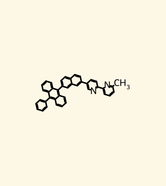 Cc1cccc(-c2ccc(-c3ccc4ccc(-c5c6ccccc6c(-c6ccccc6)c6ccccc56)cc4c3)cn2)n1